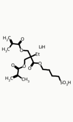 C=C(C)C(=O)OCC(CC)(COC(=O)C(=C)C)C(=O)OCCCCS(=O)(=O)O.[LiH]